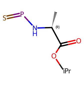 CC(C)OC(=O)[C@@H](C)NP=S